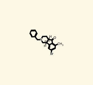 Cc1cc(Br)cc2c1C(=O)[C@H]1CCN(Cc3ccccc3)C[C@@H]21